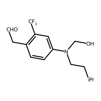 CC(C)CCN(CO)c1ccc(CC=O)c(C(F)(F)F)c1